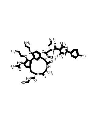 Cc1nc(-c2ccc(C(C)(C)C)cc2)nc(C)c1C(=O)N[C@@H](CCN)C(=O)N(C)[C@@H]1C(=O)N[C@@H](C)C(=O)N[C@H](C(=O)NCC#N)Cc2cc(NC(N)=O)c(OCCN)c(c2)-c2cc1ccc2OCCN